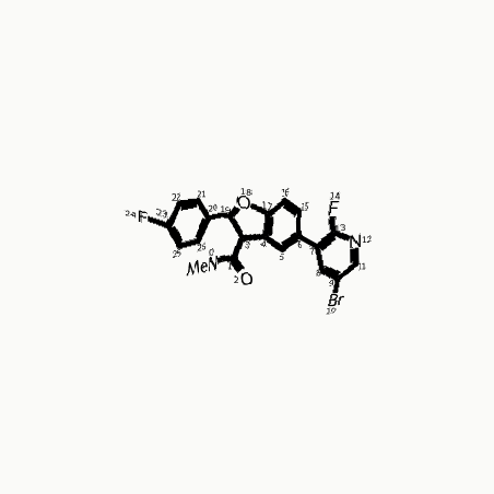 CNC(=O)C1c2cc(-c3cc(Br)cnc3F)ccc2OC1c1ccc(F)cc1